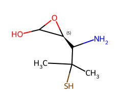 CC(C)(S)C(N)[C@@H]1OC1O